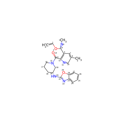 C=CO/C(=N\C)c1cc(C)cnc1C(=O)N1CCC[C@@H](Nc2nc3ccccc3o2)C1